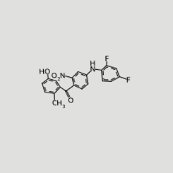 Cc1ccc(O)cc1C(=O)c1ccc(Nc2ccc(F)cc2F)cc1[N+](=O)[O-]